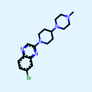 CN1CCN(C2CCN(c3cnc4ccc(Br)cc4n3)CC2)CC1